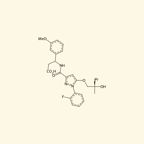 COc1cccc(C(CC(=O)O)NC(=O)c2cc(OC[C@@](C)(O)C(C)C)n(-c3ccccc3F)n2)c1